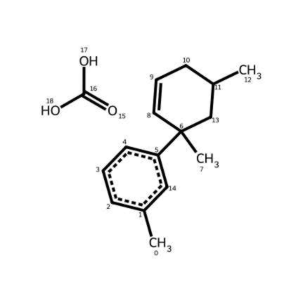 Cc1cccc(C2(C)C=CCC(C)C2)c1.O=C(O)O